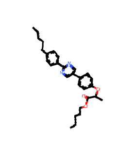 CCCCCOC(=O)C(C)Oc1ccc(-c2cnc(-c3ccc(CCCCC)cc3)nc2)cc1